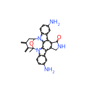 C=C1CC2OC(C)(C1=C)n1c3ccc(N)cc3c3c4c(c5c6cc(N)ccc6n2c5c31)C(=O)NC4